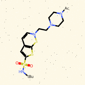 CC(=O)N1CCN(CCN2C=Cc3cc(S(=O)(=O)NC(C)(C)C)sc3S2)CC1